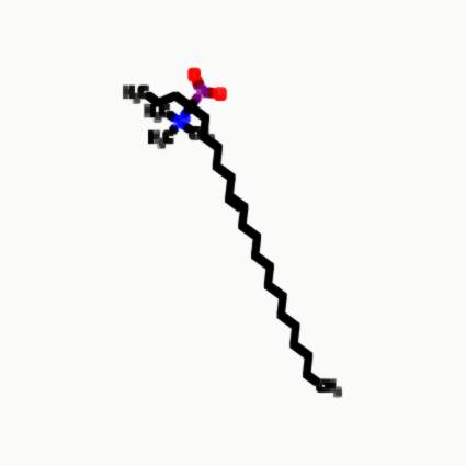 CCCCCCCCCCCCC=CCCCCCC(CCC)(P(=O)=O)[N+](C)(C)C